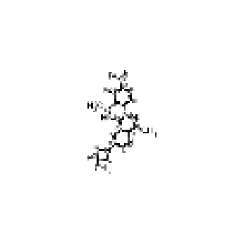 Cc1nnc(N[C@H](C)c2cccc(C(F)F)c2F)c2cc(N3CC(C)(F)C3)cnc12